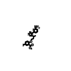 COC(=O)c1cc(I)ccc1OCCC(C)n1cnnc1-c1cccc(N)n1